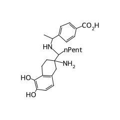 CCCCCC(NC(C)c1ccc(C(=O)O)cc1)C1(N)CCc2c(ccc(O)c2O)C1